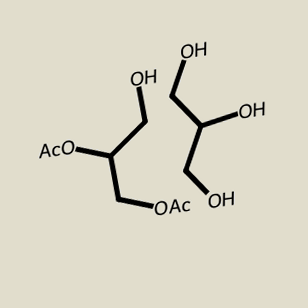 CC(=O)OCC(CO)OC(C)=O.OCC(O)CO